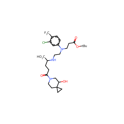 CC(C)(C)OC(=O)CCN(CCNC(CCC(=O)N1CCC2(CC2)C(O)C1)C(=O)O)c1ccc(C(F)(F)F)c(Cl)c1